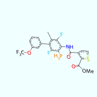 COC(=O)c1sccc1C(=O)Nc1c(F)c(C)c(-c2cccc(OC(F)(F)F)c2)c(F)c1P